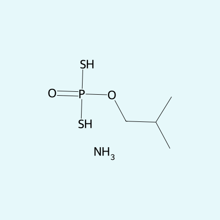 CC(C)COP(=O)(S)S.N